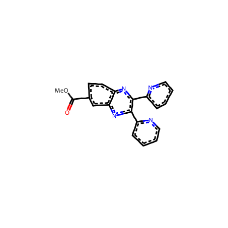 COC(=O)c1ccc2nc(-c3ccccn3)c(-c3ccccn3)nc2c1